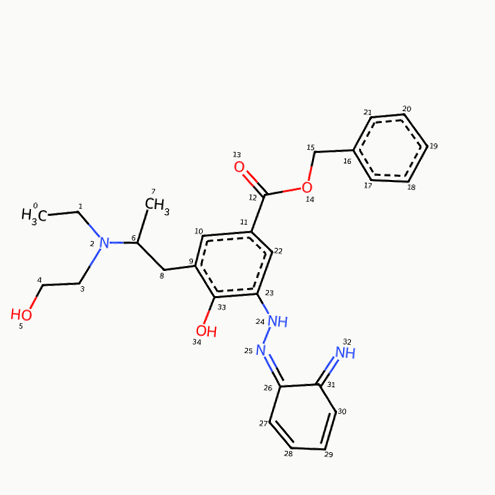 CCN(CCO)C(C)Cc1cc(C(=O)OCc2ccccc2)cc(N/N=C2/C=CC=CC2=N)c1O